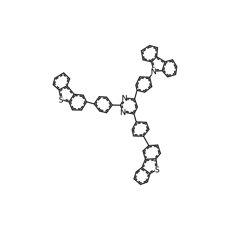 c1ccc2c(c1)sc1ccc(-c3ccc(-c4cc(-c5ccc(-n6c7ccccc7c7ccccc76)cc5)nc(-c5ccc(-c6ccc7sc8ccccc8c7c6)cc5)n4)cc3)cc12